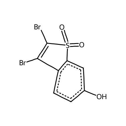 O=S1(=O)C(Br)=C(Br)c2ccc(O)cc21